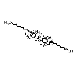 CCCCCCCCCC=CON1C(C)(C)CC(OC(=O)OC2CC(C)(C)N(OC=CCCCCCCCCC)C(C)(C)C2)CC1(C)C